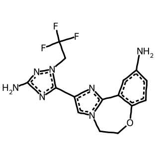 Nc1ccc2c(c1)-c1nc(-c3nc(N)nn3CC(F)(F)F)cn1CCO2